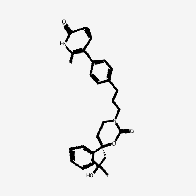 Cc1[nH]c(=O)ccc1-c1ccc(CCCN2CC[C@](CC(C)(C)O)(c3ccccc3)OC2=O)cc1